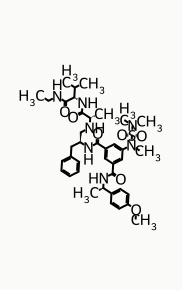 CCNC(=O)[C@@H](NC(=O)[C@H](C)NC[C@H](Cc1ccccc1)NC(=O)c1cc(C(=O)N[C@H](C)c2ccc(OC)cc2)cc(N(C)S(=O)(=O)N(C)C)c1)C(C)C